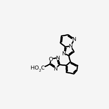 O=C(O)c1nc(-c2ccccc2-c2cn3ncccc3n2)no1